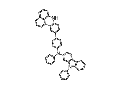 c1ccc(N(c2ccc(-c3ccc4c(c3)-c3cccc5cccc(c35)N4)cc2)c2ccc3c4ccccc4n(-c4ccccc4)c3c2)cc1